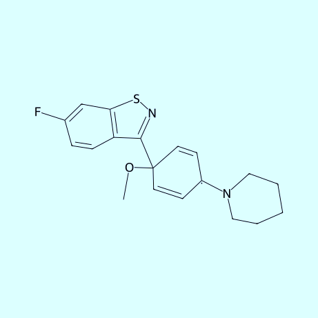 COC1(c2nsc3cc(F)ccc23)C=C[C](N2CCCCC2)C=C1